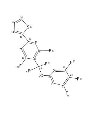 Fc1cc(OC(F)(F)c2c(F)cc(-c3cccs3)cc2F)cc(F)c1F